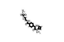 CN(C(=O)[C@@H](N)C1CCC(C(=O)NCCNS(C)(=O)=O)CC1)C1CCC1